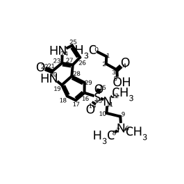 CCCC(=O)O.CN(C)CCN(C)S(=O)(=O)c1ccc2[nH]c(=O)c3[nH]ccc3c2c1